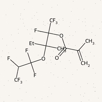 C=C(C)C(=O)OC(F)(C(F)(F)F)C(C)(CC)OC(F)(F)C(F)C(F)(F)F